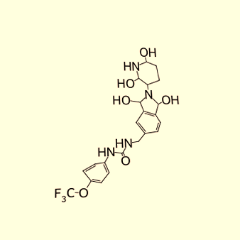 O=C(NCc1ccc2c(c1)C(O)N(C1CCC(O)NC1O)C2O)Nc1ccc(OC(F)(F)F)cc1